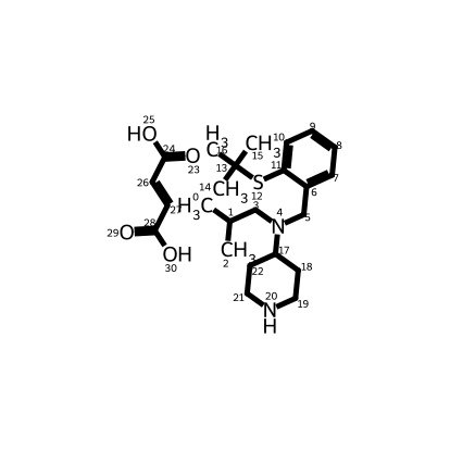 CC(C)CN(Cc1ccccc1SC(C)(C)C)C1CCNCC1.O=C(O)C=CC(=O)O